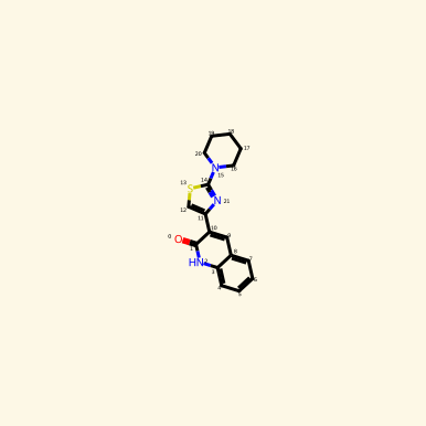 O=c1[nH]c2ccccc2cc1-c1csc(N2CCCCC2)n1